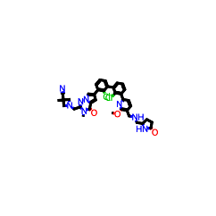 COc1nc(-c2cccc(-c3cccc(-c4cc5c(=O)n(C)c(CN6CC(C)(C#N)C6)nn5c4)c3Cl)c2Cl)ccc1CNCC1CCC(=O)N1